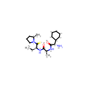 B[C@@H]1CCCN1C(=S)[C@H](CC)NC(=O)[C@H](C)NC(=O)[C@@H](N)C1CCCCC1